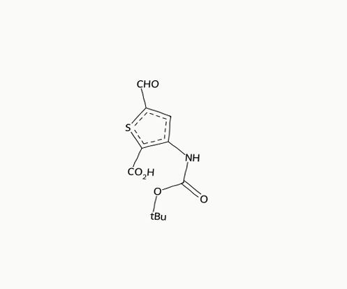 CC(C)(C)OC(=O)Nc1cc(C=O)sc1C(=O)O